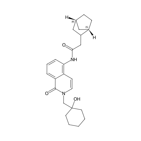 O=C(CC1C[C@@H]2CC[C@H]1C2)Nc1cccc2c(=O)n(CC3(O)CCCCC3)ccc12